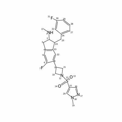 CNC1Cc2cc(F)c(C3CN(S(=O)(=O)c4cnn(C)c4)C3)cc2C1Cc1cccc(F)c1